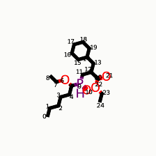 CCCCCC(OCC)[PH](=O)CC(CC1CCCCC1)C(=O)OCC